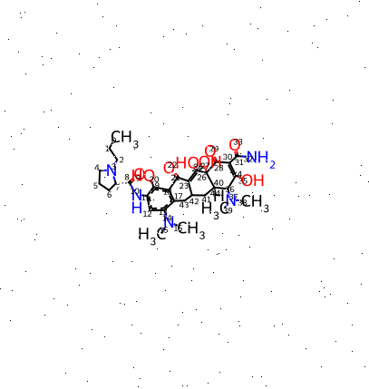 CCCN1CCC[C@H]1C(=O)Nc1cc(N(C)C)c2c(c1O)C(=O)C1=C(O)[C@]3(O)C(=O)C(C(N)=O)=C(O)[C@@H](N(C)C)[C@@H]3CC1C2